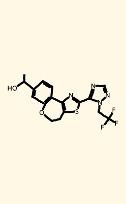 CC(O)c1ccc2c(c1)OCCc1sc(-c3ncnn3CC(F)(F)F)nc1-2